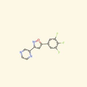 Fc1cc(-c2cc(-c3cnccn3)no2)cc(F)c1F